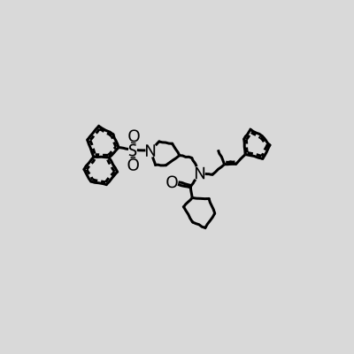 C/C(=C\c1ccccc1)CN(CC1CCN(S(=O)(=O)c2cccc3ccccc23)CC1)C(=O)C1CCCCC1